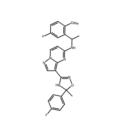 COc1ccc(F)cc1C(C)Nc1ccn2ncc(C3=NOC(C)(c4ccc(F)cc4)N3)c2n1